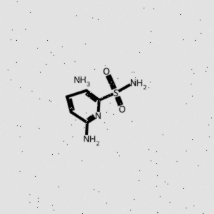 N.Nc1cccc(S(N)(=O)=O)n1